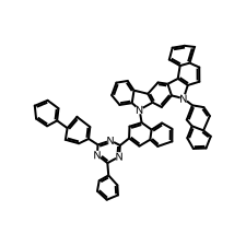 c1ccc(-c2ccc(-c3nc(-c4ccccc4)nc(-c4cc(-n5c6ccccc6c6cc7c8c9ccccc9ccc8n(-c8ccc9ccccc9c8)c7cc65)c5ccccc5c4)n3)cc2)cc1